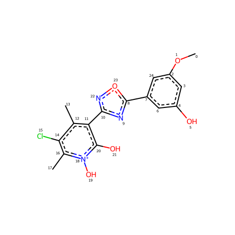 COc1cc(O)cc(-c2nc(-c3c(C)c(Cl)c(C)[n+](O)c3O)no2)c1